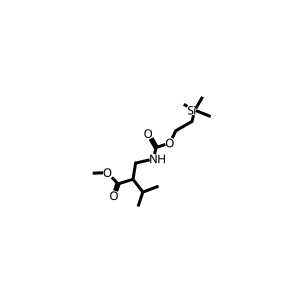 COC(=O)C(CNC(=O)OCC[Si](C)(C)C)C(C)C